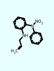 C=CCNc1ccccc1N(c1ccccc1)[N+](=O)[O-]